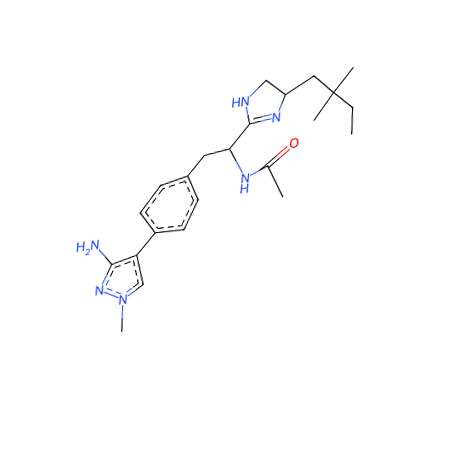 CCC(C)(C)CC1CNC(C(Cc2ccc(-c3cn(C)nc3N)cc2)NC(C)=O)=N1